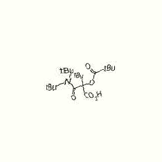 CC(C)(C)C(=O)OC(C(=O)O)(C(=O)N(C(C)(C)C)C(C)(C)C)C(C)(C)C